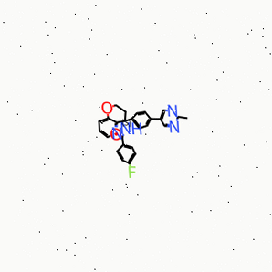 Cc1ncc(-c2ccc([C@@]3(NC(=O)c4ccc(F)cc4)CCOc4cccnc43)cc2)cn1